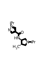 CC(C)N1C[C@H](NC(=O)c2cnn(C(C)C)c2)[C@@H](C)C1